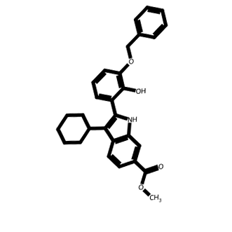 COC(=O)c1ccc2c(C3CCCCC3)c(-c3cccc(OCc4ccccc4)c3O)[nH]c2c1